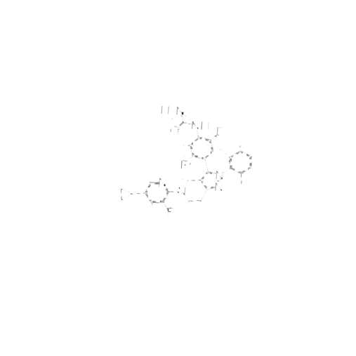 Cc1cccc(C)c1-n1nc2c(c1-c1cc(F)c(NC(N)=O)cc1F)CN(c1ncc(C3CC3)cc1F)CC2